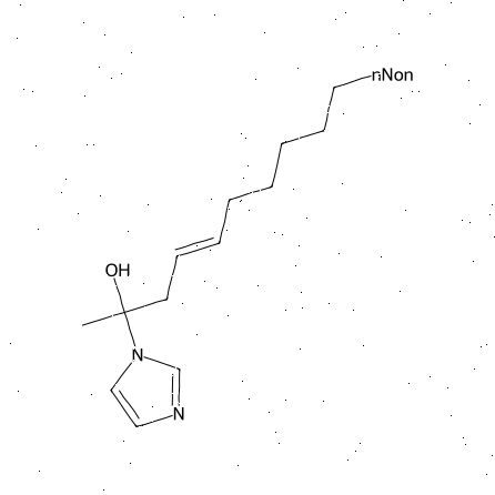 CCCCCCCCCCCCCC/C=C/CC(C)(O)n1ccnc1